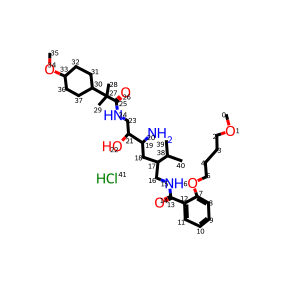 COCCCCOc1ccccc1C(=O)NCC(CC(N)C(O)CNC(=O)C(C)(C)C1CCC(OC)CC1)C(C)C.Cl